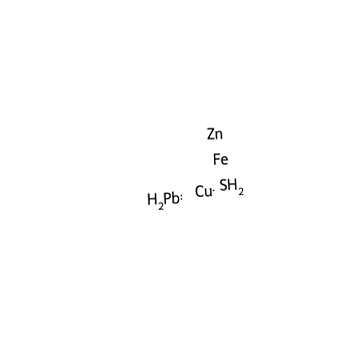 S.[Cu].[Fe].[PbH2].[Zn]